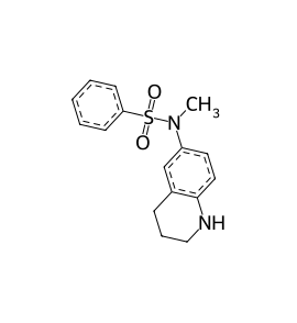 CN(c1ccc2c(c1)CCCN2)S(=O)(=O)c1ccccc1